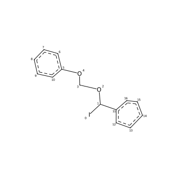 IC(OCOc1ccccc1)c1ccccc1